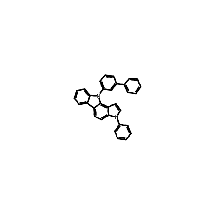 c1ccc(-c2cccc(-n3c4ccccc4c4ccc5c(ccn5-c5ccccc5)c43)c2)cc1